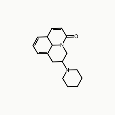 O=C1C=CC2C=CC=C3CC(N4CC[CH]CC4)CN1C32